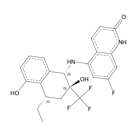 CC[C@H]1C[C@@](O)(C(F)(F)F)[C@@H](Nc2cc(F)cc3[nH]c(=O)ccc23)c2cccc(O)c21